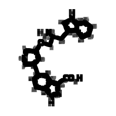 N[C@H](COc1cncc(-c2ccc3[nH]nc(C(=O)O)c3c2)c1)Cc1c[nH]c2ccccc12